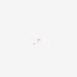 CC[C@H]1CCC[C@H](O[C@H]2CC[C@H](N(C)C)C(C)O2)[C@@H](C)C(=O)C2=C[C@H]3[C@@H]4C[C@H](O[C@@H]5OC(C)[C@H](OC)C(OC)C5OC)C[C@H]4C[C@@H](n4cc(C(C)(C)C)nn4)[C@H]3[C@@H]2CC(=O)O1